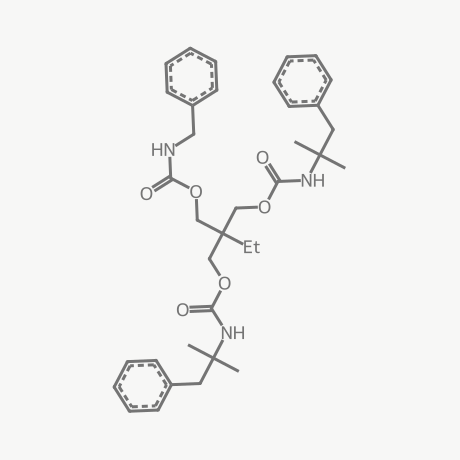 CCC(COC(=O)NCc1ccccc1)(COC(=O)NC(C)(C)Cc1ccccc1)COC(=O)NC(C)(C)Cc1ccccc1